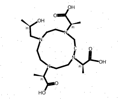 C[C@H](C(=O)O)N1CCN(C[C@@H](C)O)CCN([C@H](C)C(=O)O)CCN([C@H](C)C(=O)O)CC1